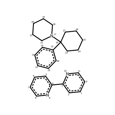 c1ccc(-c2ccccn2)nc1.c1ccc(C2(N3CCCCC3)CCCCC2)cc1